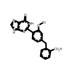 CCOc1cc(Cc2ccccc2C(=O)O)ccc1-c1nc2[nH]cnc2c(=O)[nH]1